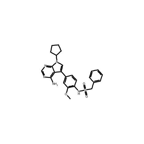 COc1cc(-c2cn(C3CCCC3)c3ncnc(N)c23)ccc1NS(=O)(=O)Cc1ccccc1